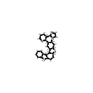 c1ccc2c(c1)sc1ccc3sc4cc5c(cc4c3c12)c1ncccc1c1nccn51